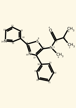 CC(C)C(=O)N(C)c1sc(-c2cccnc2)nc1-c1ccccc1